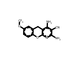 N#Cc1c(N)nc2c(c1N)Cc1cc(OC(F)(F)F)ccc1O2